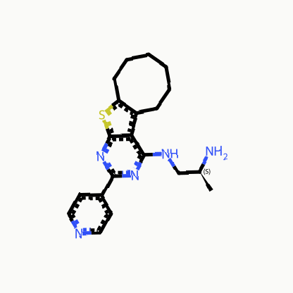 C[C@H](N)CNc1nc(-c2ccncc2)nc2sc3c(c12)CCCCCC3